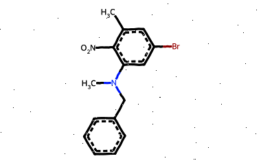 Cc1cc(Br)cc(N(C)Cc2ccccc2)c1[N+](=O)[O-]